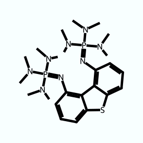 CN(C)P(=Nc1cccc2sc3cccc(N=P(N(C)C)(N(C)C)N(C)C)c3c12)(N(C)C)N(C)C